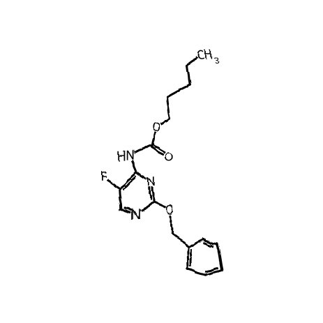 CCCCCOC(=O)Nc1nc(OCc2ccccc2)ncc1F